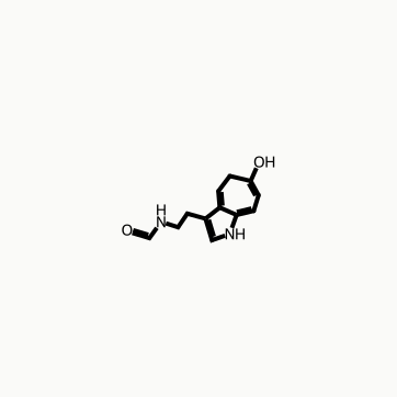 O=CNCCc1c[nH]c2c1=CCC(O)=CC=2